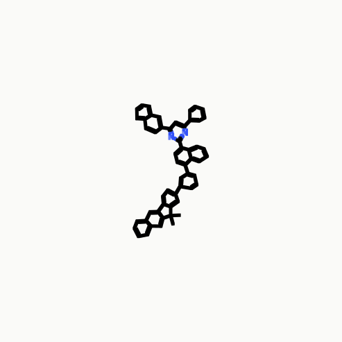 CC1(C)c2cc(-c3cccc(-c4ccc(-c5nc(-c6ccccc6)cc(-c6ccc7ccccc7c6)n5)c5ccccc45)c3)ccc2-c2cc3ccccc3cc21